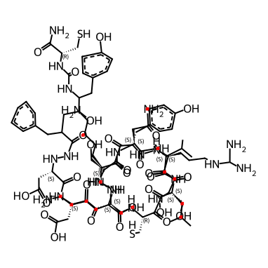 CC(C)C[C@H](NC(=O)[C@@H](NC(=O)[C@H](CC(N)=O)NC(=O)[C@H](CO)NN[C@@H](CO)C(=O)C(=O)[C@H](CC(=O)O)NC(=O)[C@H](CC(=O)O)NNC(=O)C(Cc1ccccc1)CC(O)C(Cc1ccc(O)cc1)NC(=O)N[C@@H](CS)C(N)=O)C(C)C)C(=O)C(=O)[C@H](CS)NC(=O)[C@H](CCCCN)NN[C@@H](CCCCN)C(=O)C(=O)[C@H](Cc1ccc(O)cc1)NN[C@@H](CCCNC(N)N)C(=O)C(=O)[C@H](CO)NO